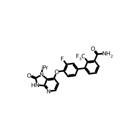 CC(C)n1c(=O)[nH]c2nccc(Oc3ccc(-c4cccc(C(N)=O)c4C(F)(F)F)cc3F)c21